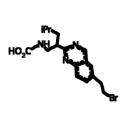 CC(C)CC(CNC(=O)O)c1ncc2cc(CCBr)ccc2n1